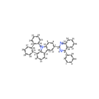 c1ccc(-c2nc(-c3ccc4c(c3)c3cccc5c3n4-c3ccccc3-c3ccccc3-5)nc3ccccc23)cc1